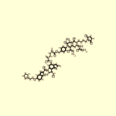 Cc1cc2c(OC(=O)N(C)CCN(C)C(=O)OCc3ccc(N(C(=O)[C@@H](NC(=O)CCCCCN4C(=O)C=CC4=O)C(C)C)[C@@H](CCCNC(N)=O)C(N)=O)cc3)cc3c(c2s1)[C@@H](CCl)CN3C(=O)c1cc2cc(OCCN3CCCC3)ccc2[nH]1